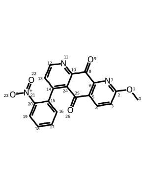 COc1ccc2c(n1)C(=O)c1nccc(-c3ccccc3[N+](=O)[O-])c1C2=O